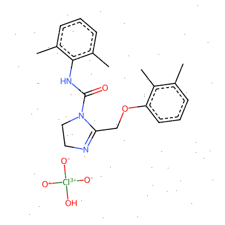 Cc1cccc(OCC2=NCCN2C(=O)Nc2c(C)cccc2C)c1C.[O-][Cl+3]([O-])([O-])O